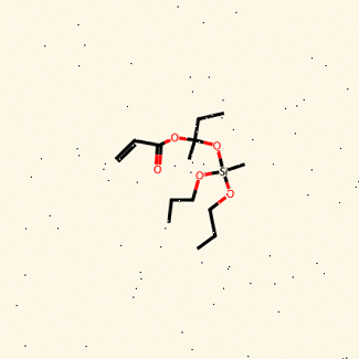 C=CC(=O)OC(C)(CC)O[Si](C)(OCCC)OCCC